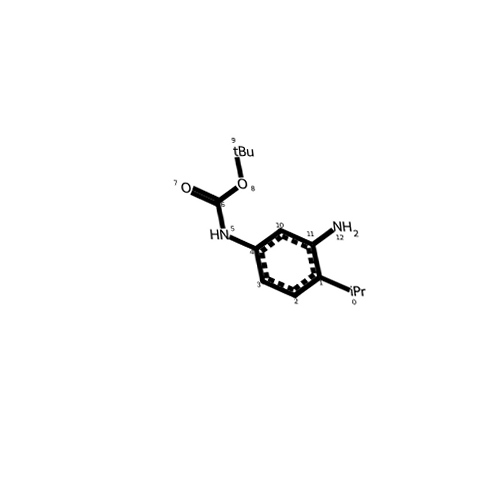 CC(C)c1ccc(NC(=O)OC(C)(C)C)cc1N